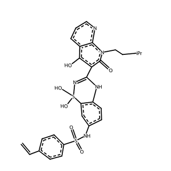 C=Cc1ccc(S(=O)(=O)Nc2ccc3c(c2)S(O)(O)N=C(c2c(O)c4cccnc4n(CCC(C)C)c2=O)N3)cc1